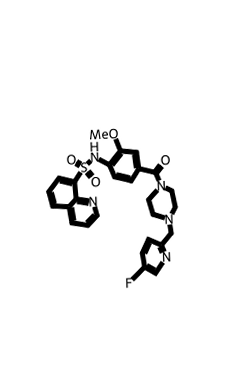 COc1cc(C(=O)N2CCN(Cc3ccc(F)cn3)CC2)ccc1NS(=O)(=O)c1cccc2cccnc12